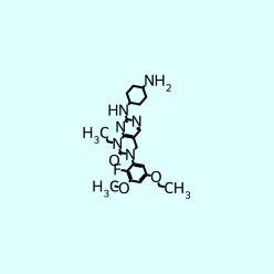 CCOc1cc(OC)c(F)c(N2Cc3cnc(NC4CCC(N)CC4)nc3N(CC)C2=O)c1